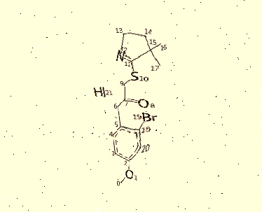 COc1ccc(CC(=O)CSC2=NCCC2(C)C)c(Br)c1.I